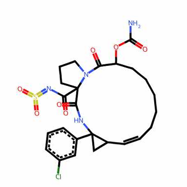 NC(=O)OC1CCCCCC=CC2CC2(c2cccc(Cl)c2)NC(=O)C2(C(=O)N=S(=O)=O)CCCN2C1=O